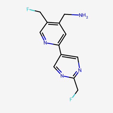 NCc1cc(-c2cnc(CF)nc2)ncc1CF